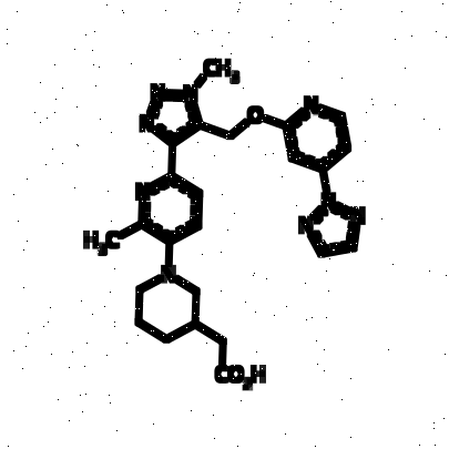 Cc1nc(-c2nnn(C)c2COc2cc(-n3nccn3)ccn2)ccc1N1CCCC(CC(=O)O)C1